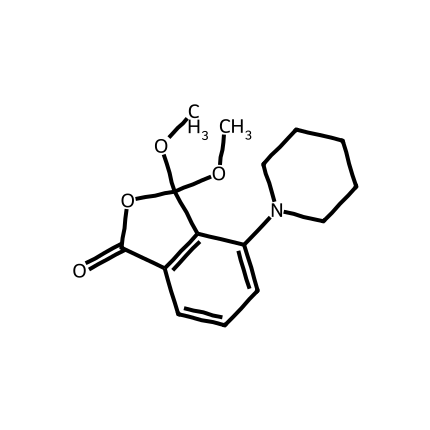 COC1(OC)OC(=O)c2cccc(N3CCCCC3)c21